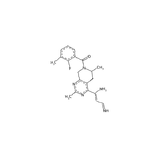 Cc1nc2c(c(/C(N)=C/C=N)n1)CC(C)N(C(=O)c1cccc(C)c1F)C2